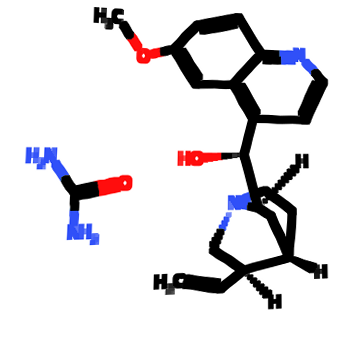 C=C[C@H]1C[N@]2CC[C@H]1C[C@@H]2[C@H](O)c1ccnc2ccc(OC)cc12.NC(N)=O